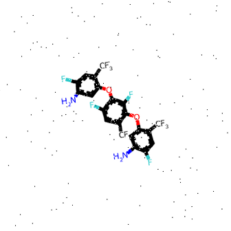 Nc1cc(Oc2c(F)cc(C(F)(F)F)c(Oc3cc(N)c(F)cc3C(F)(F)F)c2F)c(C(F)(F)F)cc1F